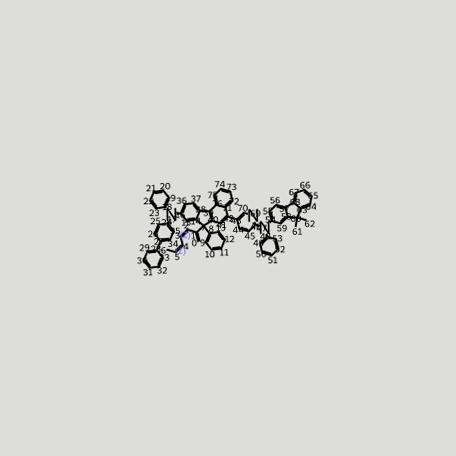 C=C(/C=C\C=C/C)C1(c2ccccc2)c2cc(N(c3ccccc3)c3ccc(-c4ccccc4)cc3)ccc2-c2c1cc(-c1ccc(N(c3ccccc3)c3ccc4c(c3)C(C)(C)c3ccccc3-4)nc1)c1ccccc21